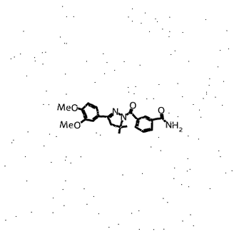 COc1ccc(C2=NN(C(=O)c3cccc(C(N)=O)c3)C(C)(C)C2)cc1OC